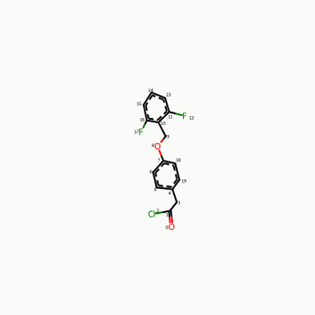 O=C(Cl)Cc1ccc(OCc2c(F)cccc2F)cc1